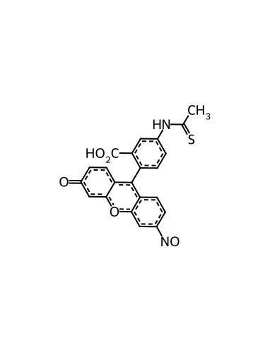 CC(=S)Nc1ccc(-c2c3ccc(=O)cc-3oc3cc(N=O)ccc23)c(C(=O)O)c1